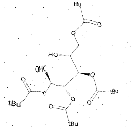 CC(C)(C)C(=O)OC[C@@H](O)[C@@H](OC(=O)C(C)(C)C)[C@H](OC(=O)C(C)(C)C)[C@H](C=O)OC(=O)C(C)(C)C